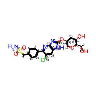 NS(=O)(=O)Cc1ccc(-c2nc3nc(O[C@H]4CO[C@H](CO)[C@@H](O)C4)[nH]c3cc2Cl)cc1